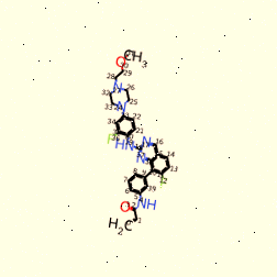 C=CC(=O)Nc1cccc(-c2c(F)ccc3cnc(Nc4ccc(N5CCN(CCOC)CC5)cc4F)nc23)c1